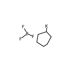 FB(F)F.[K][CH]1CCCCC1